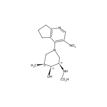 C[C@H]1CN(c2c([N+](=O)[O-])cnc3c2CCC3)C[C@@H](NC(=O)O)[C@H]1O